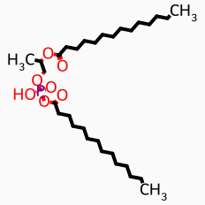 CCCCCCCCCCCCCC(=O)OC(C)COP(=O)(O)OC(=O)CCCCCCCCCCCCC